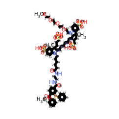 COCCOCCOCCOCC[N+]1=C(/C=C/C=C/C=C/C=C2/N(CCCCCC(=O)NCCNC(=O)c3ccc(C(=O)OC)c(P(c4ccccc4)c4ccccc4)c3)c3ccc(S(=O)(=O)O)cc3C2(C)CCCS(=O)(=O)O)C(C)(CCCS(=O)(=O)O)c2cc(S(=O)(=O)O)ccc21